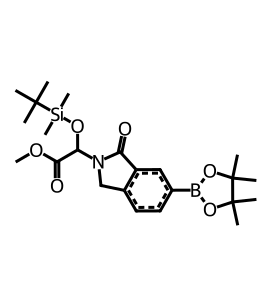 COC(=O)C(O[Si](C)(C)C(C)(C)C)N1Cc2ccc(B3OC(C)(C)C(C)(C)O3)cc2C1=O